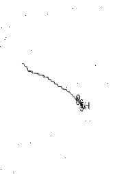 CCCCCCCCCCCCCCCCCCCCCCCCCCCCCC(=O)OCCS(=O)(=O)O